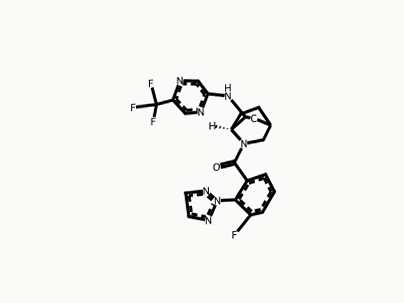 O=C(c1cccc(F)c1-n1nccn1)N1CC2CC[C@H]1C(Nc1cnc(C(F)(F)F)cn1)C2